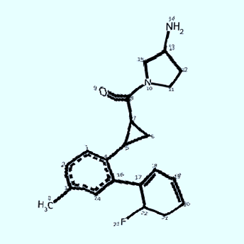 Cc1ccc(C2CC2C(=O)N2CCC(N)C2)c(C2=CC=CCC2F)c1